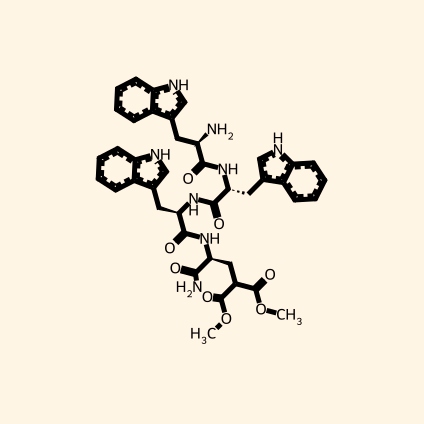 COC(=O)C(C[C@H](NC(=O)[C@@H](Cc1c[nH]c2ccccc12)NC(=O)[C@@H](Cc1c[nH]c2ccccc12)NC(=O)[C@H](N)Cc1c[nH]c2ccccc12)C(N)=O)C(=O)OC